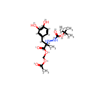 CC(=O)OCOC(=O)C(C)(Cc1ccc(O)c(O)c1)NNC(=O)OC(C)(C)C